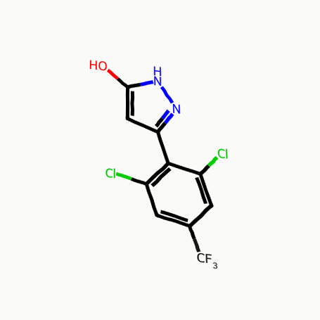 Oc1cc(-c2c(Cl)cc(C(F)(F)F)cc2Cl)n[nH]1